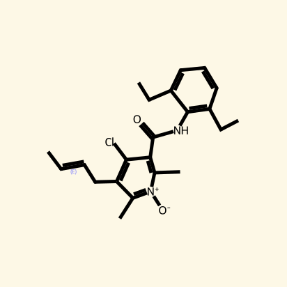 C/C=C/Cc1c(Cl)c(C(=O)Nc2c(CC)cccc2CC)c(C)[n+]([O-])c1C